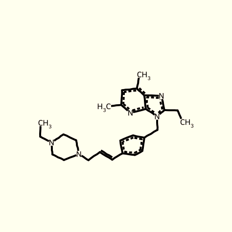 CCc1nc2c(C)cc(C)nc2n1Cc1ccc(C=CCN2CCN(CC)CC2)cc1